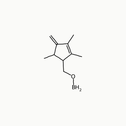 BOCC1C(C)=C(C)C(=C)C1C